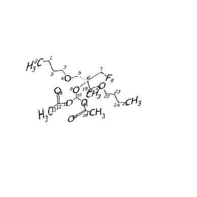 CCCCOC[C@@](CF)(OC(OC(C)=O)OC(C)=O)C(C)OCCCC